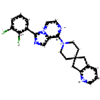 Clc1cccc(-c2ncc3c(N4CCC5(CC4)Cc4cccnc4C5)nccn23)c1Cl